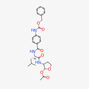 CC(=O)OC1OCCC1NC(=O)[C@H](CC(C)C)NC(=O)c1ccc(NC(=O)OCc2ccccc2)cc1